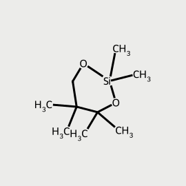 CC1(C)CO[Si](C)(C)OC1(C)C